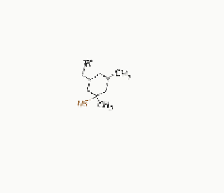 CC(C)CC1CC(C)CC(C)(S)C1